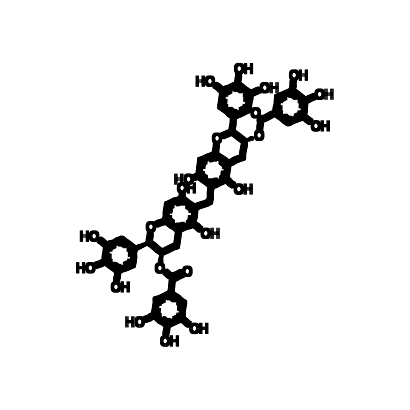 O=C(O[C@@H]1Cc2c(cc(O)c(Cc3c(O)cc4c(c3O)C[C@@H](OC(=O)c3cc(O)c(O)c(O)c3)[C@@H](c3cc(O)c(O)c(O)c3)O4)c2O)OC1c1cc(O)c(O)c(O)c1)c1cc(O)c(O)c(O)c1